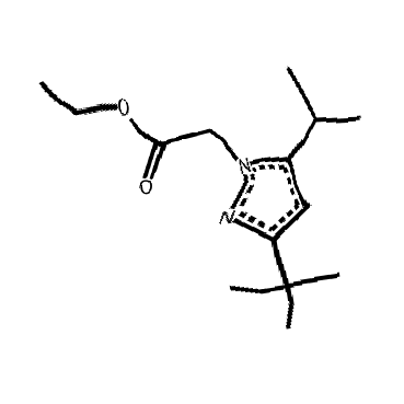 CCOC(=O)Cn1nc(C(C)(C)C)cc1C(C)C